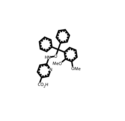 COc1cccc(C(ONc2ccc(C(=O)O)cn2)(c2ccccc2)c2ccccc2)c1OC